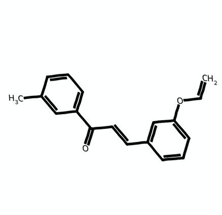 C=COc1cccc(/C=C/C(=O)c2cccc(C)c2)c1